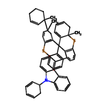 CC12CC=CC=C1C1(C3=C(C=CC(C)(C4(C)C=CCCC4)C3)Sc3ccccc31)c1c(cccc1-c1cccc3c1c1ccccc1n3C1C=CC=CC1)S2